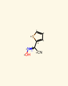 N#C/C(=N\O)c1cccs1